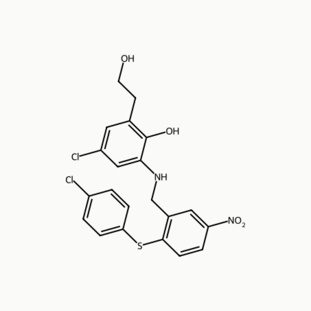 O=[N+]([O-])c1ccc(Sc2ccc(Cl)cc2)c(CNc2cc(Cl)cc(CCO)c2O)c1